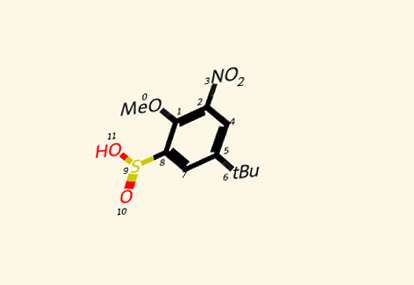 COc1c([N+](=O)[O-])cc(C(C)(C)C)cc1S(=O)O